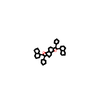 c1ccc(-c2c(-c3cccc4ccccc34)oc3c2ccc2c3ccc3c(-c4ccccc4)c(-c4cccc5ccccc45)oc32)cc1